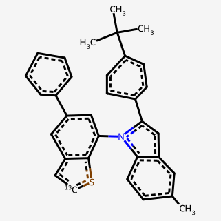 Cc1ccc2c(c1)cc(-c1ccc(C(C)(C)C)cc1)n2-c1cc(-c2ccccc2)cc2c[13cH]sc12